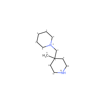 CC1(CN2CCCCC2)CCNCC1